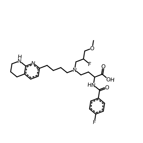 COCC(F)CN(CCCCc1ccc2c(n1)NCCC2)CCC(NC(=O)c1ccc(F)cc1)C(=O)O